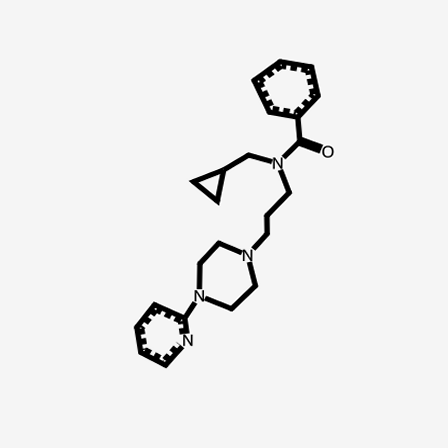 O=C(c1ccccc1)N(CCCN1CCN(c2ccccn2)CC1)CC1CC1